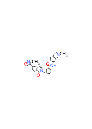 Cc1nocc1-c1ccc2c(=O)n(Cc3cccc(C(=O)Nc4ccc5c(c4)CN(C)CC5)c3)ccc2c1